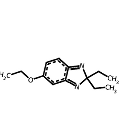 CCOc1ccc2c(c1)=NC(CC)(CC)N=2